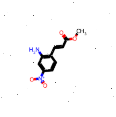 COC(=O)C=Cc1ccc([N+](=O)[O-])cc1N